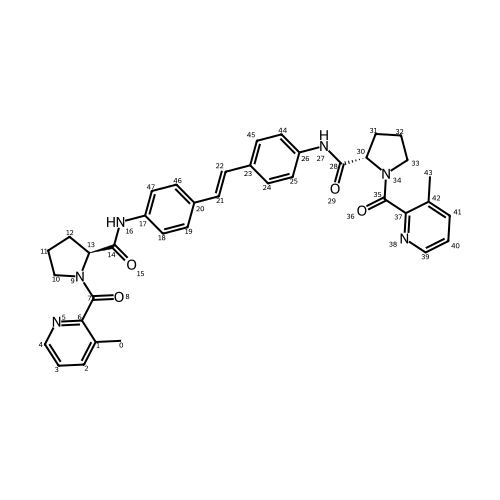 Cc1cccnc1C(=O)N1CCC[C@H]1C(=O)Nc1ccc(/C=C/c2ccc(NC(=O)[C@@H]3CCCN3C(=O)c3ncccc3C)cc2)cc1